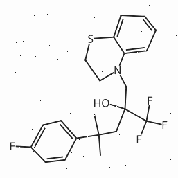 CC(C)(CC(O)(CN1CCSc2ccccc21)C(F)(F)F)c1ccc(F)cc1